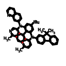 Cc1ccc(N(c2ccc3c(c2)C(C)(C)c2ccccc2-3)c2cc(C(C)(C)C)cc(N(c3ccc(C)nc3)c3ccc4cccnc4c3)c2-c2ccccc2)cn1